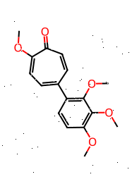 COc1ccc(-c2ccc(OC)c(=O)cc2)c(OC)c1OC